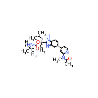 CC(=O)N(C)c1cc(-c2ccc3[nH]c([C@@](C)(CC(C)C)OC(=O)NC(C)(C)C)nc3c2)ccn1